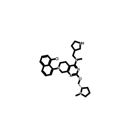 CN(CC1CCNC1)c1nc(OC[C@@H]2CCCN2C)nc2c1CCN(c1cccc3cccc(Cl)c13)C2